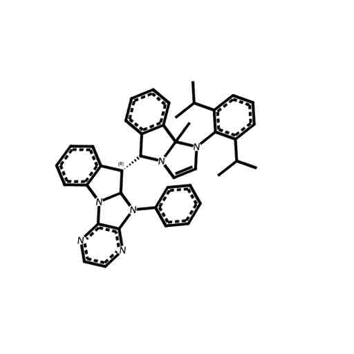 CC(C)c1cccc(C(C)C)c1N1C=CN2C([C@H]3c4ccccc4N4c5nccnc5N(c5ccccc5)C34)c3ccccc3C12C